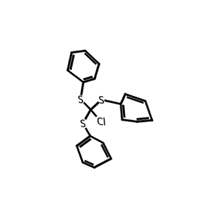 ClC(Sc1ccccc1)(Sc1ccccc1)Sc1ccccc1